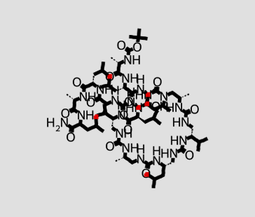 CC(C)CC(NC(=O)[C@H](C)NC(=O)[C@H](CC(C)C)NC(=O)[C@H](C)NC(=O)NC[C@H](CC(C)C)NC(=O)NC[C@H](C)NC(=O)NC[C@@H](NC(=O)NC[C@H](CC(C)C)NC(=O)NC[C@H](C)NC(=O)NC[C@@H](NC(=O)[C@H](CC(C)C)NC(=O)[C@H](C)NC(=O)[C@H](CC(C)C)NC(=O)[C@H](C)NC(=O)OC(C)(C)C)C(C)C)C(C)C)C(N)=O